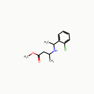 COC(=O)CC(C)NC(C)c1ccccc1Cl